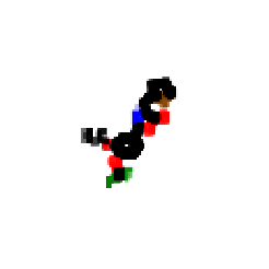 COc1cc(C2=N/C(=C/c3cccs3)C(=O)O2)ccc1OC(F)F